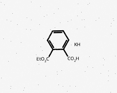 CCOC(=O)c1ccccc1C(=O)O.[KH]